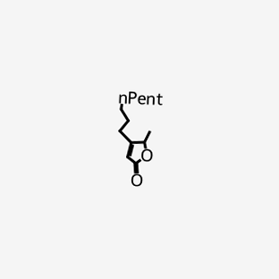 CCCCCCCCC1=CC(=O)OC1C